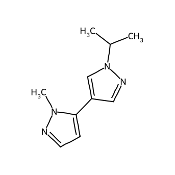 CC(C)n1cc(-c2ccnn2C)cn1